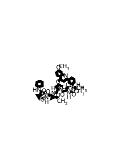 C=CC1CC1(NC(=O)C1CC(Oc2cc(-c3ccccc3)nc3cc(OC)ccc23)CN1C(=O)C(NC(=O)OC(C)(C)C)C(C)(C)C)C(=O)NS(=O)(=O)C1(C(=O)Nc2ccccc2)CC1